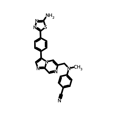 CN(Cc1cn2c(-c3ccc(-c4nnc(N)s4)cc3)cnc2cn1)c1ccc(C#N)cc1